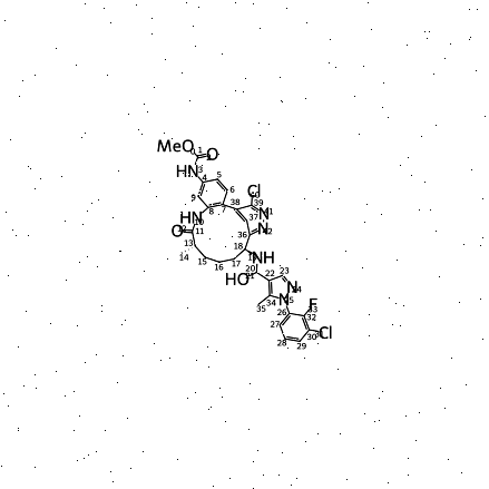 COC(=O)Nc1ccc2c(c1)NC(=O)[C@@H](C)CCC[C@H](NC(O)c1cnn(-c3cccc(Cl)c3F)c1C)c1cc-2c(Cl)nn1